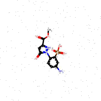 COC(=O)c1cc(=O)n(-c2ccc(N)cc2S(=O)(=O)O)[nH]1